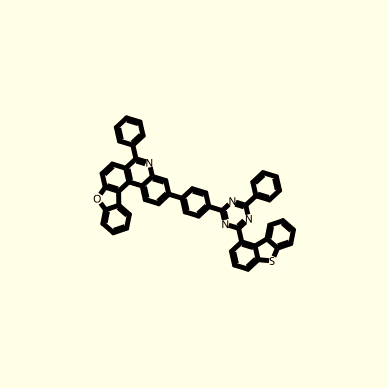 c1ccc(-c2nc(-c3ccc(-c4ccc5c(c4)nc(-c4ccccc4)c4ccc6oc7ccccc7c6c45)cc3)nc(-c3cccc4sc5ccccc5c34)n2)cc1